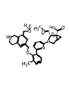 COCc1cc(COc2c(C)cccc2-c2cccc(N3CC4C[C@]4(C(=O)O)[C@H]3COC)n2)cc2c1CNCC2